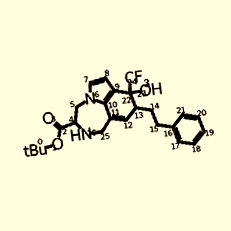 CC(C)(C)OC(=O)C1Cn2ccc3c2C(=CC(CCc2ccccc2)C3(O)C(F)(F)F)CN1